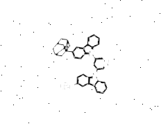 CC(C)(C)c1ccc2c(c1)c1ccccc1n2-c1cncc(-n2c3ccccc3c3cc(C45CC6CC(CC(C6)C4)C5)ccc32)c1